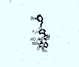 CC(C)(C)OC(=O)N(C(=NC(=O)O)N1CCC[C@H]1c1nc(-c2ccc(OCC=Cc3cccc(Br)c3)c(C(F)(F)F)c2)no1)C(C)(C)C